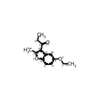 CCOc1ccc2oc(C)c(C(=O)CC)c2c1